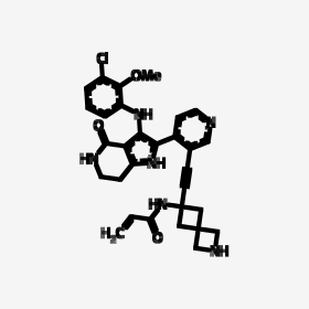 C=CC(=O)NC1(C#Cc2cnccc2-c2[nH]c3c(c2Nc2cccc(Cl)c2OC)C(=O)NCC3)CC2(CNC2)C1